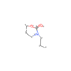 CCCN1CCCOC1=O